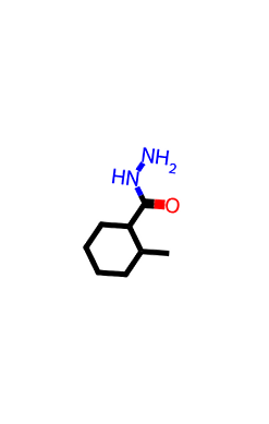 CC1CCCCC1C(=O)NN